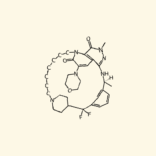 C[C@@H]1Nc2nn(C)c(=O)c3c2cc(N2CCOCC2)c(=O)n3CCCCCCCN2CCC(CC2)C(F)(F)c2cccc1c2